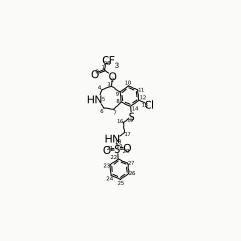 O=C(OC1CNCCc2c1ccc(Cl)c2SCCNS(=O)(=O)c1ccccc1)C(F)(F)F